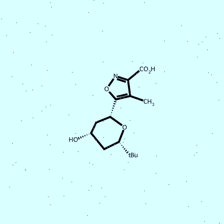 Cc1c(C(=O)O)noc1[C@H]1C[C@@H](O)C[C@@H](C(C)(C)C)O1